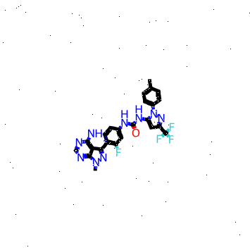 Cc1ccc(-n2nc(C(F)(F)F)cc2NC(=O)Nc2ccc(-c3nn(C)c4ncnc(N)c34)c(F)c2)cc1